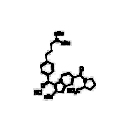 CCCCc1cc2cc(C(=O)N3CCC[C@H]3C(=O)O)ccn2c1C(=O)c1ccc(CCCN(CCCC)CCCC)cc1.Cl